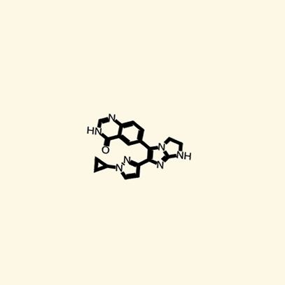 O=c1[nH]cnc2ccc(-c3c(-c4ccn(C5CC5)n4)nc4n3CCN4)cc12